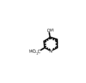 O=C(O)c1cc(O)ccn1